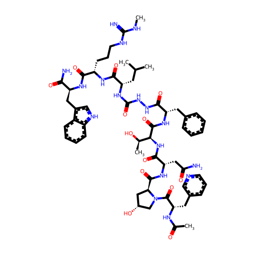 CNC(=N)NCCC[C@H](NC(=O)[C@H](CC(C)C)NC(=O)NNC(=O)[C@H](Cc1ccccc1)NC(=O)[C@@H](NC(=O)[C@H](CC(N)=O)NC(=O)[C@@H]1C[C@@H](O)CN1C(=O)[C@H](Cc1cccnc1)NC(C)=O)[C@@H](C)O)C(=O)N[C@@H](Cc1c[nH]c2ccccc12)C(N)=O